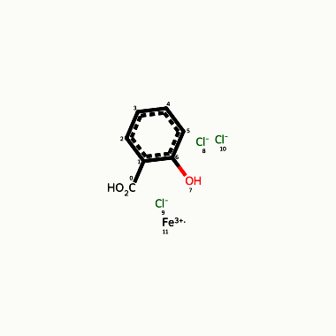 O=C(O)c1ccccc1O.[Cl-].[Cl-].[Cl-].[Fe+3]